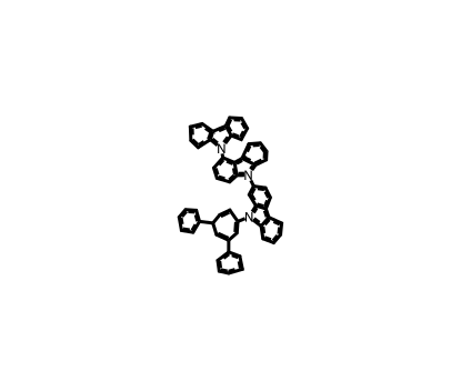 C1=CC(c2ccccc2)C=C(c2ccccc2)C=C1n1c2ccccc2c2ccc(-n3c4ccccc4c4c(-n5c6ccccc6c6ccccc65)cccc43)cc21